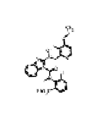 CCOC(=O)c1cccc(Cl)c1N(C)C(=O)n1c([S+]([O-])Cc2nccc(OCC(F)(F)F)c2C)nc2ccccc21